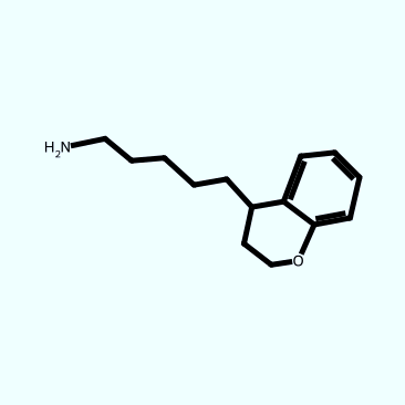 NCCCCCC1CCOc2ccccc21